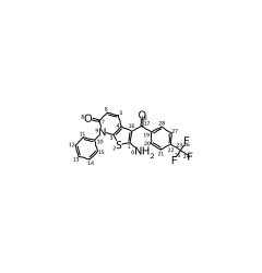 Nc1sc2c(ccc(=O)n2-c2ccccc2)c1C(=O)c1ccc(C(F)(F)F)cc1